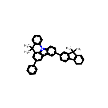 CC1(C)C2=C(CCC=C2)c2ccc(-c3ccc4c(c3)c3cc(-c5ccccc5)cc5c3n4-c3ccccc3C5(C)C)cc21